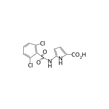 O=C(O)c1ccc(NS(=O)(=O)c2c(Cl)cccc2Cl)[nH]1